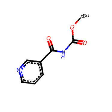 CC(C)(C)OC(=O)NC(=O)c1cccnc1